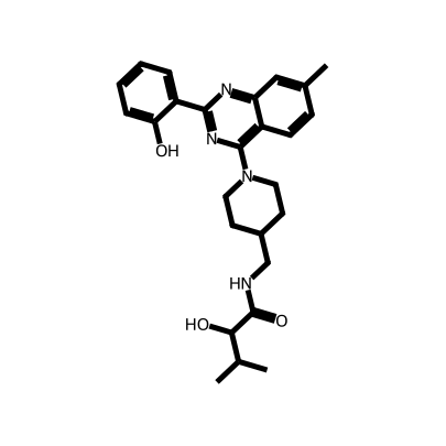 Cc1ccc2c(N3CCC(CNC(=O)C(O)C(C)C)CC3)nc(-c3ccccc3O)nc2c1